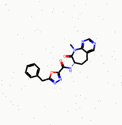 CN1C(=O)[C@@H](NC(=O)c2nnc(Cc3ccccc3)o2)CCc2cncnc21